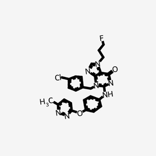 Cc1ccc(Oc2ccc(Nc3nc(=O)c4c(ncn4CCCF)n3Cc3ccc(Cl)cc3)cc2)nn1